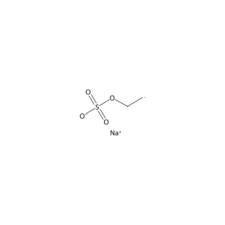 [CH2]COS(=O)(=O)[O-].[Na+]